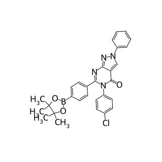 CC1(C)OB(c2ccc(-c3nc4nn(-c5ccccc5)cc4c(=O)n3-c3ccc(Cl)cc3)cc2)OC1(C)C